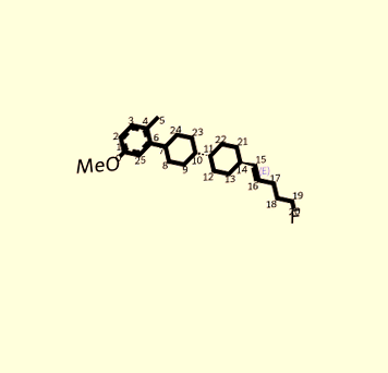 COc1ccc(C)c(C2CCC([C@H]3CC[C@H](/C=C/CCCF)CC3)CC2)c1